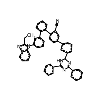 CCc1nc2ccccc2n1-c1cccc(-c2ccccc2-c2ccc(-c3cccc(C4N=C(c5ccccc5)N=C(c5ccccc5)N4)c3)cc2C#N)c1